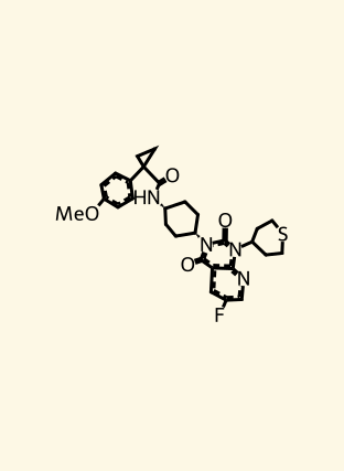 COc1ccc(C2(C(=O)N[C@H]3CC[C@@H](n4c(=O)c5cc(F)cnc5n(C5CCSCC5)c4=O)CC3)CC2)cc1